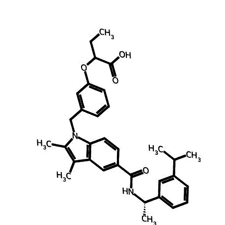 CCC(Oc1cccc(Cn2c(C)c(C)c3cc(C(=O)N[C@@H](C)c4cccc(C(C)C)c4)ccc32)c1)C(=O)O